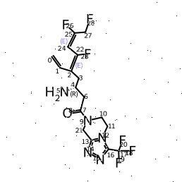 C=C/C(C[C@@H](N)CC(=O)N1CCn2c(nnc2C(F)(F)F)C1)=C(F)\C=C(\F)CF